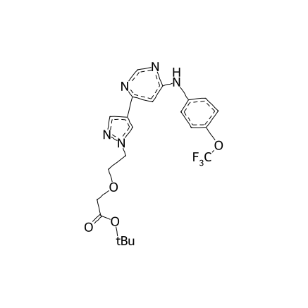 CC(C)(C)OC(=O)COCCn1cc(-c2cc(Nc3ccc(OC(F)(F)F)cc3)ncn2)cn1